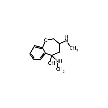 CNC1COc2ccccc2C(O)(NC)C1